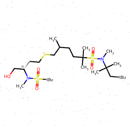 CC(CCC(C)(C)S(=O)(=O)N(C)C(C)(C)CC(C)(C)C)CSCC[C@@H](CO)N(C)S(=O)(=O)C(C)(C)C